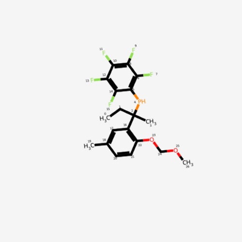 CCC(C)(Pc1c(F)c(F)c(F)c(F)c1F)c1cc(C)ccc1OCOC